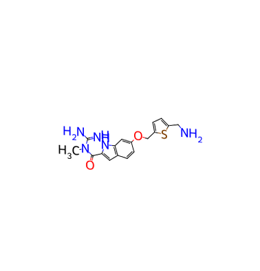 CN(C(=N)N)C(=O)c1cc2ccc(OCc3ccc(CN)s3)cc2[nH]1